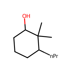 CCCC1CCCC(O)C1(C)C